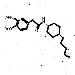 COc1cc(CC(=O)N[C@H]2CC[C@H](CCCCF)CC2)ccc1OC(C)=O